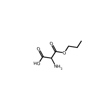 CCCOC(=O)C(N)C(=O)O